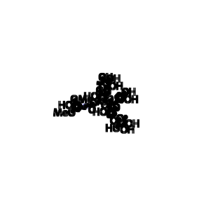 COc1cc(/C=C/C(=O)OCC2OC(Oc3c(-c4ccc(O)c(O)c4)oc4cc(OC5OC(C)C(O)C(O)C5O)cc(O)c4c3=O)C(OC3OC(C)C(O)C(O)C3O)C(O)C2O)cc(OC)c1O